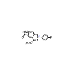 COC(=O)c1ccc(/C=C/c2ccc(F)cc2)c(C(=O)OC)c1